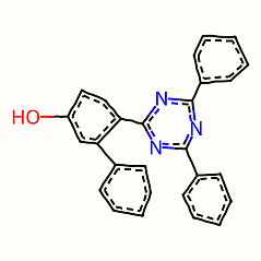 Oc1ccc(-c2nc(-c3ccccc3)nc(-c3ccccc3)n2)c(-c2ccccc2)c1